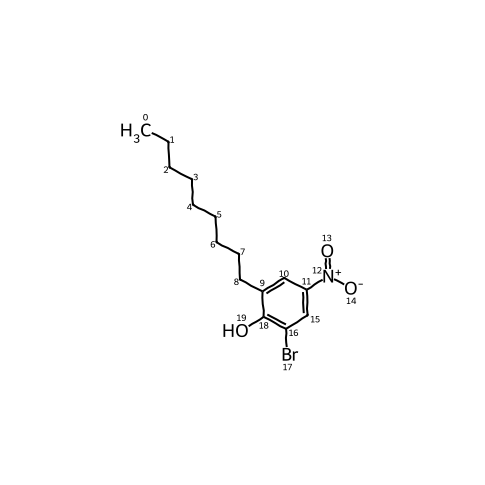 CCCCCCCCCc1cc([N+](=O)[O-])cc(Br)c1O